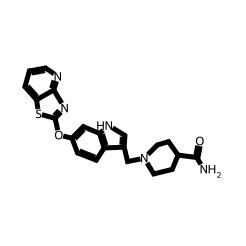 NC(=O)C1CCN(Cc2c[nH]c3cc(Oc4nc5ncccc5s4)ccc23)CC1